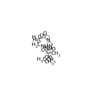 CCNC(=O)Nc1sc(C(=O)OC(C)(C)C)c(C)c1C(=O)N1CCC(N2CCCC3(C2)CC(C)(C)OC3=O)CC1